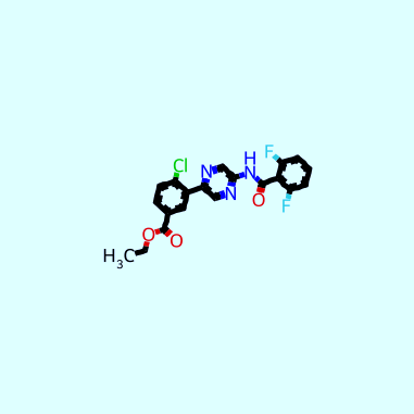 CCOC(=O)c1ccc(Cl)c(-c2cnc(NC(=O)c3c(F)cccc3F)cn2)c1